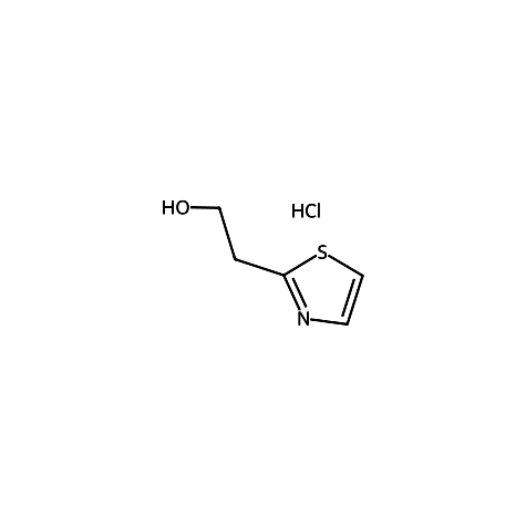 Cl.OCCc1nccs1